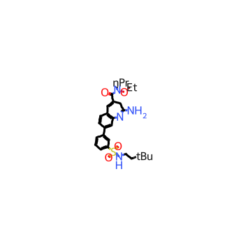 CCCN(OCC)C(=O)C1=Cc2ccc(-c3cccc(S(=O)(=O)NCCC(C)(C)C)c3)cc2N=C(N)C1